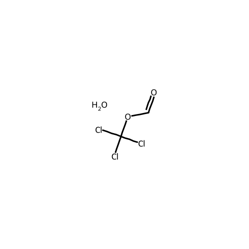 O.O=COC(Cl)(Cl)Cl